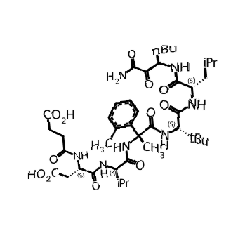 CCCCC(NC(=O)[C@H](CC(C)C)NC(=O)[C@@H](NC(=O)C(C)(NC(=O)[C@H](NC(=O)[C@H](CC(=O)O)NC(=O)CCC(=O)O)C(C)C)c1ccccc1C)C(C)(C)C)C(=O)C(N)=O